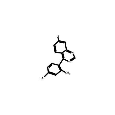 Cc1cc(C(F)(F)F)ccc1-c1ncnc2cc(Br)ccc12